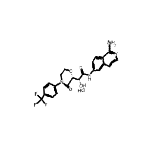 Cl.Nc1nccc2cc(NC(=O)[C@H](O)[C@H]3OCCN(c4ccc(C(F)(F)F)cc4)C3=O)ccc12